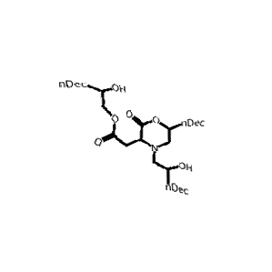 CCCCCCCCCCC(O)COC(=O)CC1C(=O)OC(CCCCCCCCCC)CN1CC(O)CCCCCCCCCC